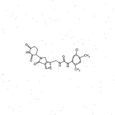 Cc1cc(C)c(NC(=O)NCc2scc3c2CN(C2CCC(=O)NC2=O)C3=O)cc1Cl